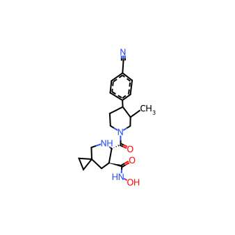 CC1CN(C(=O)[C@H]2NCC3(CC3)C[C@@H]2C(=O)NO)CCC1c1ccc(C#N)cc1